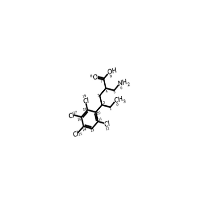 CCC(CC(CN)C(=O)O)c1c(Cl)cc(Cl)c(Cl)c1Cl